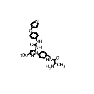 C[C@H](N)C(=O)NCc1ccc(-n2nc(C(C)(C)C)cc2NC(=O)Nc2ccc(Oc3ccncc3)cc2)cc1